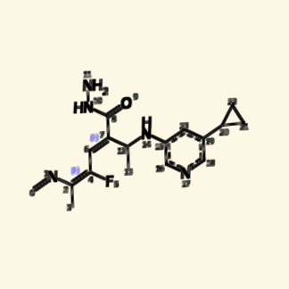 C=N/C(C)=C(F)\C=C(\C(=O)NN)C(C)Nc1cncc(C2CC2)c1